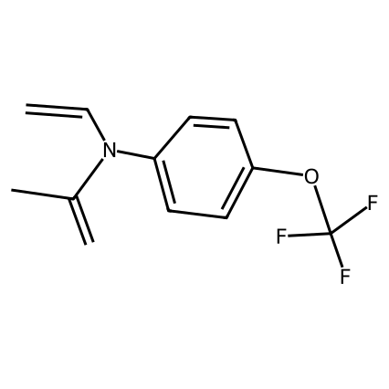 C=CN(C(=C)C)c1ccc(OC(F)(F)F)cc1